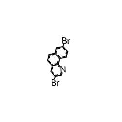 Brc1ccc2c(ccc3cc(Br)cnc32)c1